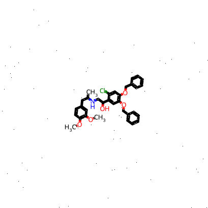 COc1ccc(CC(C)NCC(O)c2cc(OCc3ccccc3)c(OCc3ccccc3)cc2Cl)cc1OC